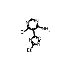 CCc1noc(-c2c(N)ncnc2Cl)n1